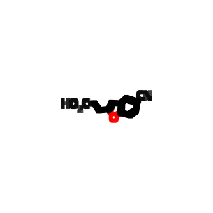 N#Cc1ccc2oc(CCC(=O)O)cc2c1